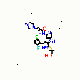 CN1CCN(C2CC(C(=O)Nc3cc(Nc4cc(-c5cc(Cl)ccc5F)nnc4SC(C)(C)CO)ccn3)C2)CC1